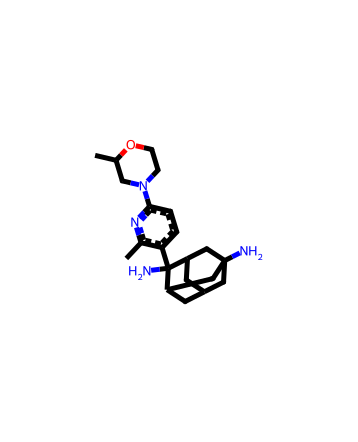 Cc1nc(N2CCOC(C)C2)ccc1C1(N)C2CC3CC1CC(N)(C3)C2